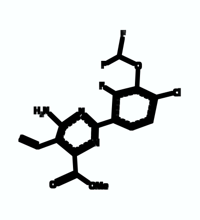 C=Cc1c(N)nc(-c2ccc(Cl)c(OC(F)F)c2F)nc1C(=O)OC